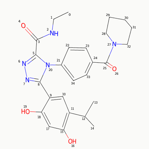 CCNC(=O)c1nnc(-c2cc(C(C)C)c(O)cc2O)n1-c1ccc(C(=O)N2CCCCC2)cc1